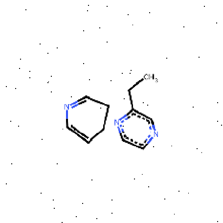 C1=CN=CCC1.CCc1cnccn1